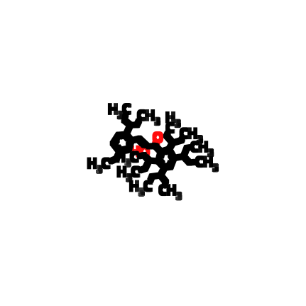 CCc1ccc(C(CC)CC)c(C=C(O)C(=O)c2c(C(CC)CC)c(C(CC)CC)cc(C(CC)CC)c2C(CC)CC)c1